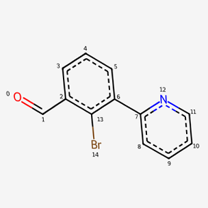 O=Cc1cccc(-c2ccccn2)c1Br